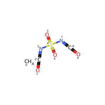 C.O=C=NS(=O)(=O)N=C=O